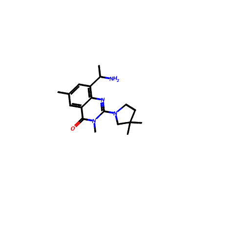 Cc1cc(C(C)N)c2nc(N3CCC(C)(C)C3)n(C)c(=O)c2c1